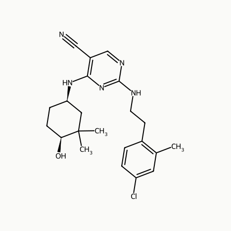 Cc1cc(Cl)ccc1CCNc1ncc(C#N)c(N[C@@H]2CC[C@H](O)C(C)(C)C2)n1